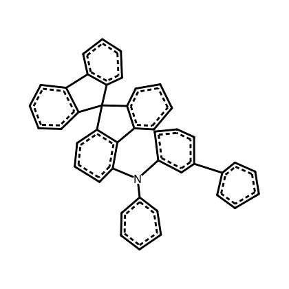 c1ccc(-c2cccc(N(c3ccccc3)c3cccc4c3-c3ccccc3C43c4ccccc4-c4ccccc43)c2)cc1